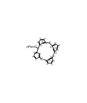 CCCCCC1c2cccc(c2)Cc2cccc(c2)Cc2cccc(c2)Cc2cccc1c2